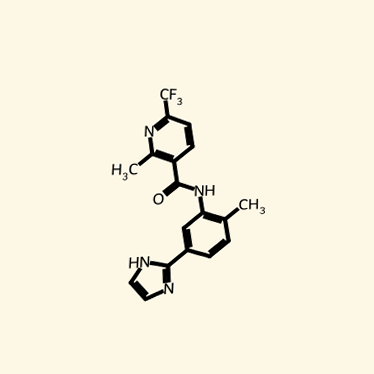 Cc1ccc(-c2ncc[nH]2)cc1NC(=O)c1ccc(C(F)(F)F)nc1C